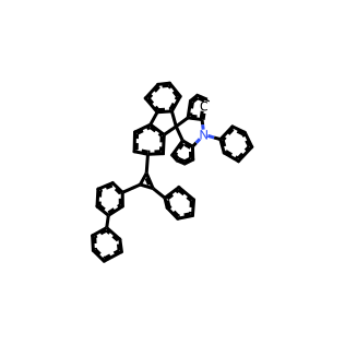 c1ccc(C2=C(c3ccc4c(c3)C3(c5ccccc5-4)c4ccccc4N(c4ccccc4)c4ccccc43)C2c2cccc(-c3ccccc3)c2)cc1